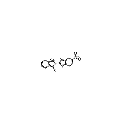 O=[N+]([O-])c1ccc2nc(-n3[se]c4ccccc4c3=S)sc2c1